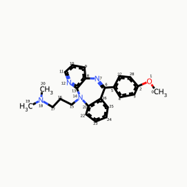 COc1ccc(C2=Nc3cccnc3N(CCCN(C)C)c3ccccc32)cc1